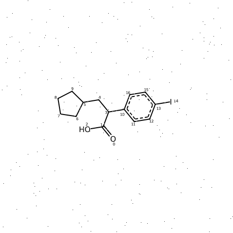 O=C(O)C(CC1CCCC1)c1ccc(I)cc1